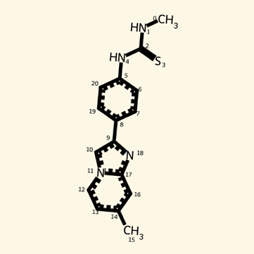 CNC(=S)Nc1ccc(-c2cn3ccc(C)cc3n2)cc1